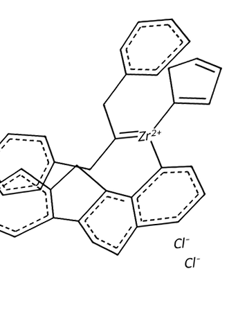 C1=CC[C]([Zr+2](=[C](Cc2ccccc2)Cc2ccccc2)[c]2cccc3ccc4c(c23)Cc2ccccc2-4)=C1.[Cl-].[Cl-]